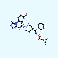 Brc1ccc2c(n1)c(N1CCC(/C(=N/OCC3CC3)c3ccccn3)CC1)cc1nncn12